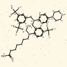 CCN(CCCCCCC(=O)O)c1ccc(C(F)(F)F)cc1CN(Cc1cc(C(F)(F)F)cc(C(F)(F)F)c1)c1ncc(N2CCOCC2)cn1